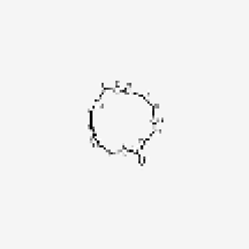 [O-][S+]1CCC/C=C\CCCCCCCCCC1